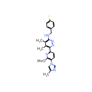 COc1nc(-c2nnc(NCc3ccc(F)cc3)c(C)c2C)ccc1-n1cnc(C)c1